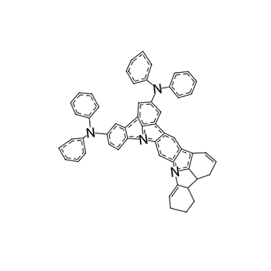 C1=Cc2c3n(c4cc5c(cc24)c2cc(N(c4ccccc4)c4ccccc4)cc4c6cc(N(c7ccccc7)c7ccccc7)ccc6n5c42)C2=CCCCC2C3C1